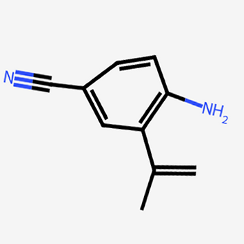 C=C(C)c1cc(C#N)ccc1N